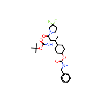 C[C@@H](C1CCC(OC(=O)NCc2ccccc2)CC1)[C@H](NC(=O)OC(C)(C)C)C(=O)N1CCC(F)(F)C1